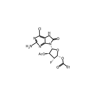 CCC(=O)O[C@H]1O[C@@H](n2c(=O)[nH]c3c(Cl)nc(N)nc32)[C@H](OC(C)=O)[C@H]1F